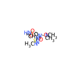 Cc1nnc(-n2c(=O)n(CCON(C)C)c3ccc(S(=O)(=O)NC4(C)CC4)cc32)s1